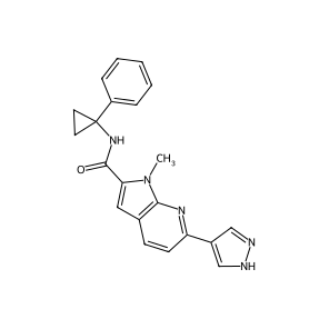 Cn1c(C(=O)NC2(c3ccccc3)CC2)cc2ccc(-c3cn[nH]c3)nc21